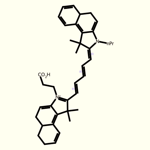 CCCN1C2=CCC3C=CC=CC3=C2C(C)(C)\C1=C/C=C/C=C/C1=[N+](CCC(=O)O)C2=CCC3CCC=CC3=C2C1(C)C